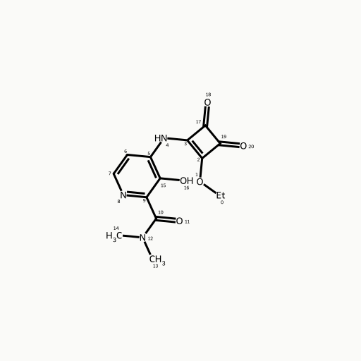 CCOc1c(Nc2ccnc(C(=O)N(C)C)c2O)c(=O)c1=O